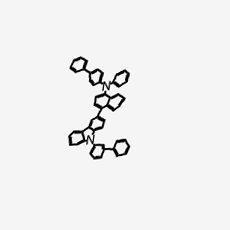 c1ccc(-c2ccc(N(c3ccccc3)c3ccc(-c4ccc5c(c4)c4ccccc4n5-c4cccc(-c5ccccc5)c4)c4ccccc34)cc2)cc1